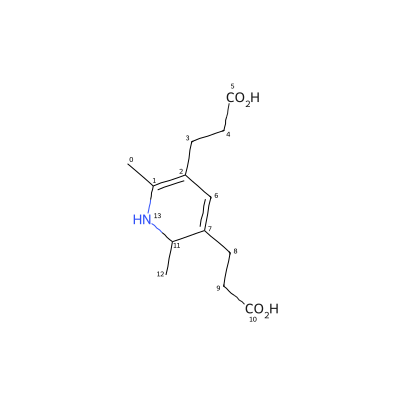 CC1=C(CCC(=O)O)C=C(CCC(=O)O)C(C)N1